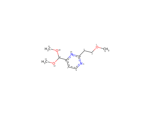 COCCc1nccc(C(OC)OC)n1